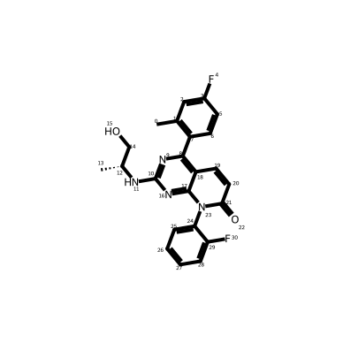 Cc1cc(F)ccc1-c1nc(N[C@H](C)CO)nc2c1ccc(=O)n2-c1ccccc1F